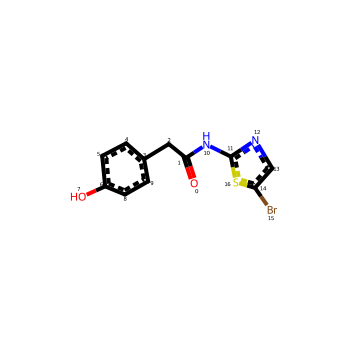 O=C(Cc1ccc(O)cc1)Nc1ncc(Br)s1